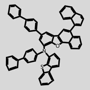 c1ccc(-c2ccc(-c3cc(N(c4ccc(-c5ccccc5)cc4)c4cccc5c4sc4ccccc45)c4oc5c6ccccc6c(-c6cccc7ccccc67)cc5c4c3)cc2)cc1